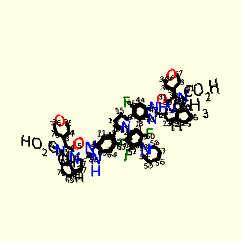 CN(C(=O)O)[C@H](C(=O)N1[C@H](c2nc3cc([C@H]4CC[C@H](c5cc6nc([C@@H]7C[C@@H]8CCC[C@@H]8N7C(=O)[C@H](C7CCOCC7)N(C)C(=O)O)[nH]c6cc5F)N4c4cc(F)c(N5CCCCC5)c(F)c4)c(F)cc3[nH]2)C[C@@H]2CCC[C@@H]21)C1CCOCC1